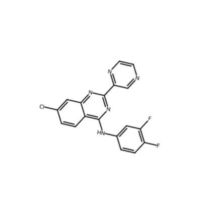 Fc1ccc(Nc2nc(-c3cnccn3)nc3cc(Cl)ccc23)cc1F